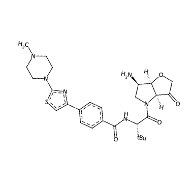 CN1CCN(c2nc(-c3ccc(C(=O)N[C@H](C(=O)N4C[C@@H](N)[C@H]5OCC(=O)[C@H]54)C(C)(C)C)cc3)cs2)CC1